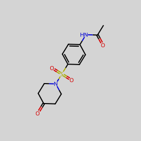 CC(=O)Nc1ccc(S(=O)(=O)N2CCC(=O)CC2)cc1